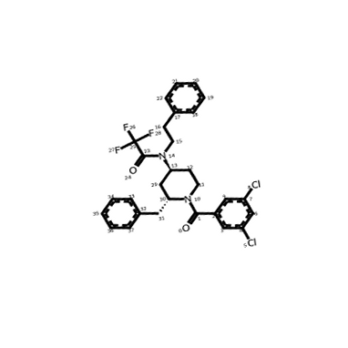 O=C(c1cc(Cl)cc(Cl)c1)N1CC[C@H](N(CCc2ccccc2)C(=O)C(F)(F)F)C[C@H]1Cc1ccccc1